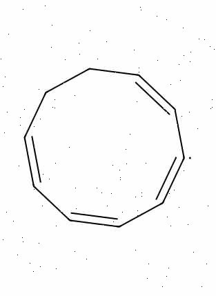 [C]1=CC=CC=CCCC=C1